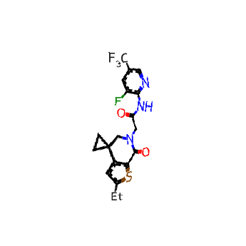 CCc1cc2c(s1)C(=O)N(CC(=O)Nc1ncc(C(F)(F)F)cc1F)CC21CC1